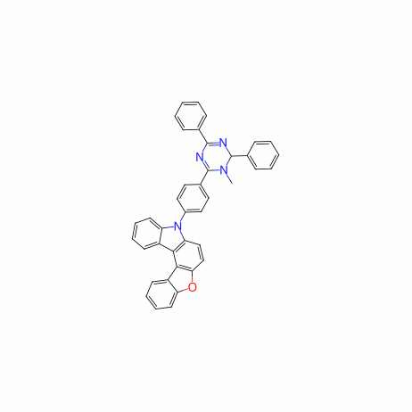 CN1C(c2ccc(-n3c4ccccc4c4c5c(ccc43)oc3ccccc35)cc2)=NC(c2ccccc2)=NC1c1ccccc1